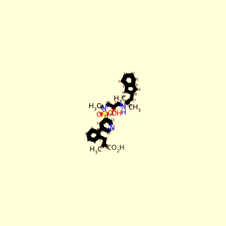 CC(Cc1ccccc1-c1cncc(S(=O)(=O)N(C)CC(O)CNC(C)(C)CC2Cc3ccccc3C2)c1)C(=O)O